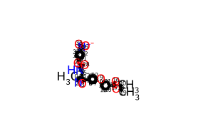 Cc1noc(-c2ccc(O[C@H]3CCC[C@H](C(=O)OC(C)C)C3)cc2)c1CNC(=O)Oc1ccc([N+](=O)[O-])cc1